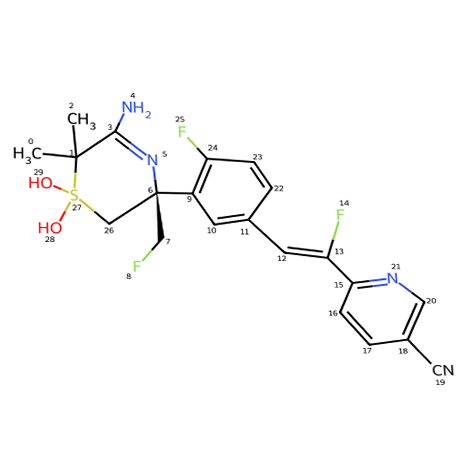 CC1(C)C(N)=N[C@](CF)(c2cc(/C=C(\F)c3ccc(C#N)cn3)ccc2F)CS1(O)O